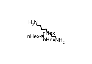 CCCCCCN(CCCCCC)CCCCCC.NCCCCCCCCN